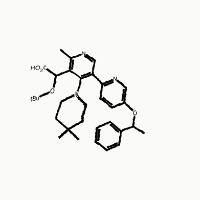 Cc1ncc(-c2ccc(OC(C)c3ccccc3)cn2)c(N2CCC(C)(C)CC2)c1C(OC(C)(C)C)C(=O)O